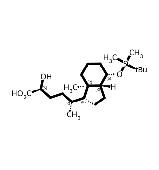 C[C@H](CC[C@H](O)C(=O)O)[C@H]1CC[C@H]2[C@@H](O[Si](C)(C)C(C)(C)C)CCC[C@]12C